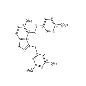 COc1cc(CC2=CCc3ccc(OC)c(CCc4ccc(C(=O)O)cc4)c32)cc(OC)c1